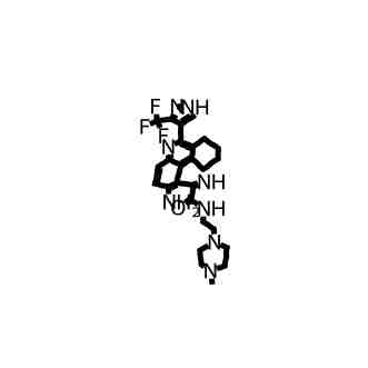 CN1CCN(CCNC(=O)C(=N)c2c(N)ccc3nc(-c4c[nH]nc4C(F)(F)F)c4c(c23)CCCC4)CC1